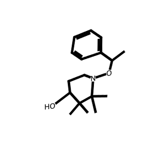 CC(ON1CCC(O)C(C)(C)C1(C)C)c1ccccc1